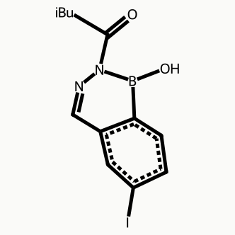 CCC(C)C(=O)N1N=Cc2cc(I)ccc2B1O